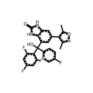 Cc1noc(C)c1-c1cc(C(O)(c2ccc(F)cn2)c2c(F)cc(F)cc2F)c2[nH]c(=O)[nH]c2c1